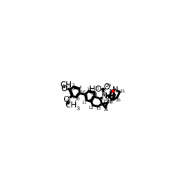 COc1ccc(-c2ccc3c(c2)CCC2(CC2)C3N(C(=O)O)[C@@H]2CN3CCC2CC3)cc1OC